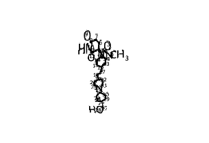 Cn1c(=O)n(C2CCC(=O)NC2=O)c2ccc(CCC3CCN([C@H]4CC[C@H](CO)CC4)CC3)cc21